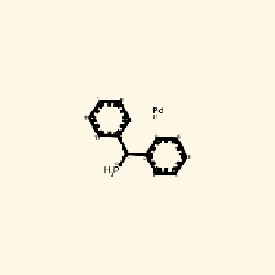 PC(c1ccccc1)c1ccccc1.[Pd]